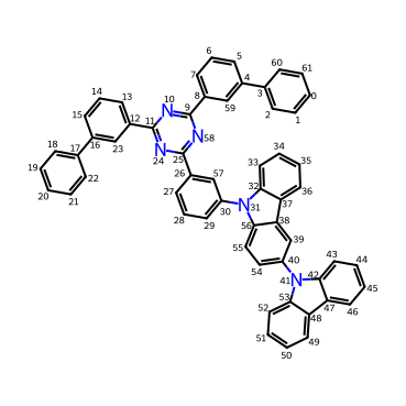 c1ccc(-c2cccc(-c3nc(-c4cccc(-c5ccccc5)c4)nc(-c4cccc(-n5c6ccccc6c6cc(-n7c8ccccc8c8ccccc87)ccc65)c4)n3)c2)cc1